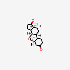 C[C@]12CC[C@H]3[C@@H](CC[C@@H]4CC(=O)CC[C@@]43CO)[C@@H]1CCC2=O